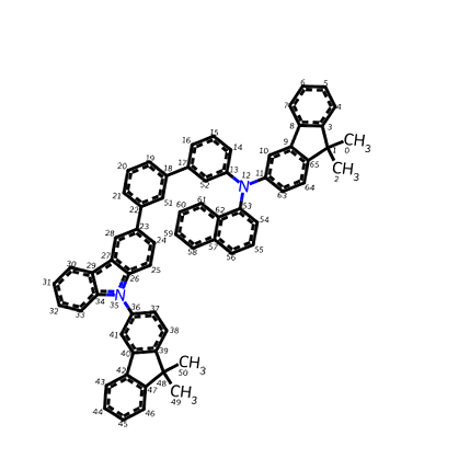 CC1(C)c2ccccc2-c2cc(N(c3cccc(-c4cccc(-c5ccc6c(c5)c5ccccc5n6-c5ccc6c(c5)-c5ccccc5C6(C)C)c4)c3)c3cccc4ccccc34)ccc21